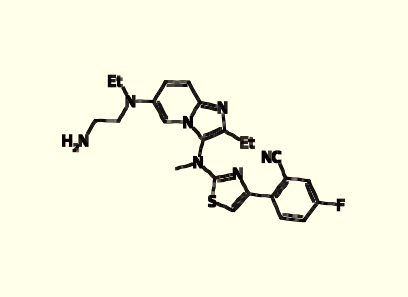 CCc1nc2ccc(N(CC)CCN)cn2c1N(C)c1nc(-c2ccc(F)cc2C#N)cs1